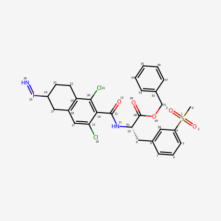 CS(=O)(=O)c1cccc(C[C@H](NC(=O)c2c(Cl)cc3c(c2Cl)CCC(I=N)C3)C(=O)OCc2ccccc2)c1